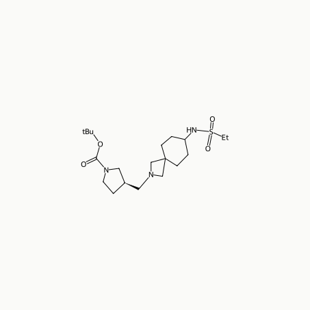 CCS(=O)(=O)NC1CCC2(CC1)CN(C[C@H]1CCN(C(=O)OC(C)(C)C)C1)C2